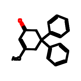 CC(=O)OC1=CC(=O)CC(c2ccccc2)(c2ccccc2)C1